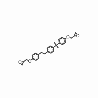 CC(C)(c1ccc(CCc2ccc(OCC3CO3)cc2)cc1)c1ccc(OCC2CO2)cc1